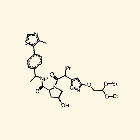 CCOC(COc1cc(C(C(=O)N2CC(O)CC2C(=O)NC(C)c2ccc(-c3scnc3C)cc2)C(C)C)on1)OCC